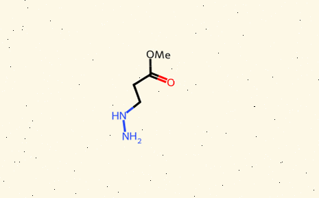 COC(=O)CCNN